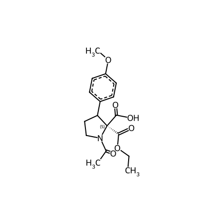 CCOC(=O)[C@@]1(C(=O)O)C(c2ccc(OC)cc2)CCN1C(C)=O